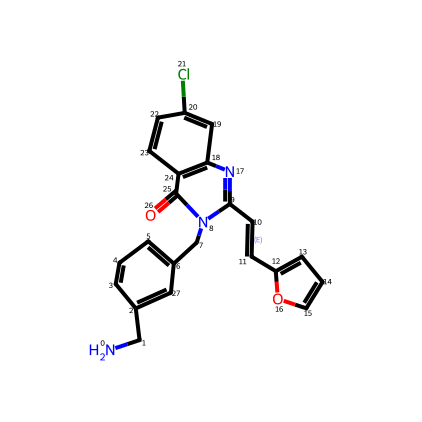 NCc1cccc(Cn2c(/C=C/c3ccco3)nc3cc(Cl)ccc3c2=O)c1